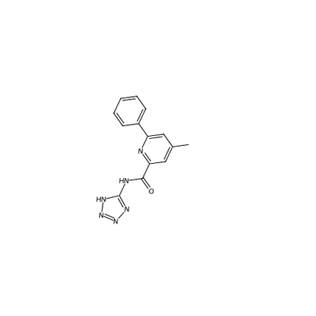 Cc1cc(C(=O)Nc2nnn[nH]2)nc(-c2ccccc2)c1